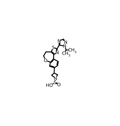 CC(C)n1ncnc1-c1nc2c(s1)CCOc1cc(C3CN(S(=O)O)C3)ccc1-2